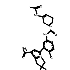 CC(=O)NC1=CCC[C@H](C(=O)Nc2cc(-c3cc(C(N)=O)c4n3CC(C)(C)C4)c(Cl)cn2)C1